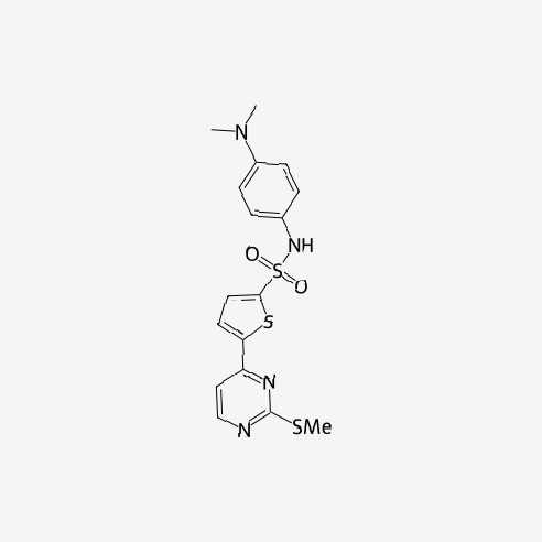 CSc1nccc(-c2ccc(S(=O)(=O)Nc3ccc(N(C)C)cc3)s2)n1